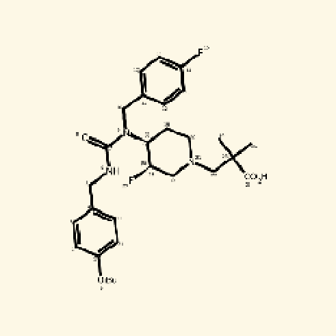 CC(C)COc1ccc(CNC(=O)N(Cc2ccc(F)cc2)[C@H]2CCN(CC(C)(C)C(=O)O)C[C@H]2F)cc1